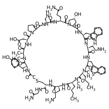 CCCC[C@H]1C(=O)N(C)[C@@H](CCCC)C(=O)N[C@@H](CCCN)C(=O)N[C@H](C(=O)NCC(N)=O)CSCC(=O)N[C@@H](Cc2ccc(O)cc2)C(=O)N(C)[C@@H](C)C(=O)N[C@@H](CC(=O)O)C(=O)N2CCC[C@H]2C(=O)N[C@@H](CN)C(=O)N[C@@H](CCC(N)=O)C(=O)N2C[C@H](O)C[C@H]2C(=O)N[C@@H](Cc2c[nH]c3ccccc23)C(=O)N[C@@H](CCN)C(=O)N[C@@H](Cc2csc3ccccc23)C(=O)N1C